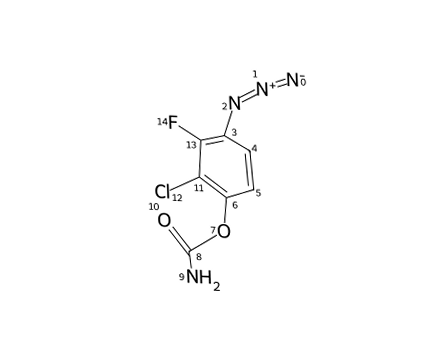 [N-]=[N+]=Nc1ccc(OC(N)=O)c(Cl)c1F